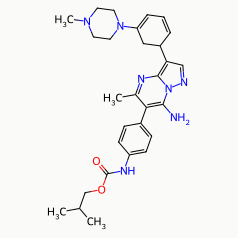 Cc1nc2c(C3C=CC=C(N4CCN(C)CC4)C3)cnn2c(N)c1-c1ccc(NC(=O)OCC(C)C)cc1